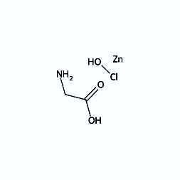 NCC(=O)O.OCl.[Zn]